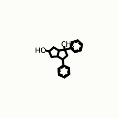 CC1(c2ccccc2)CC(c2ccccc2)C2CC(O)CC21